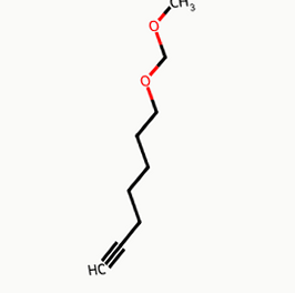 C#CCCCCCOCOC